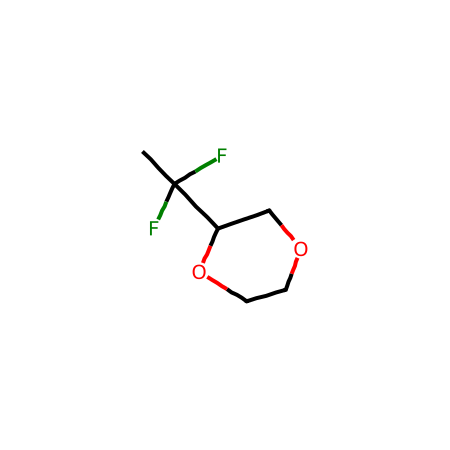 CC(F)(F)C1COCCO1